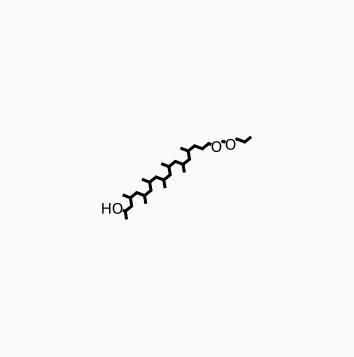 CCCOCOCCCC(C)CC(C)CC(C)CC(C)CC(C)CC(C)CC(C)CC(C)O